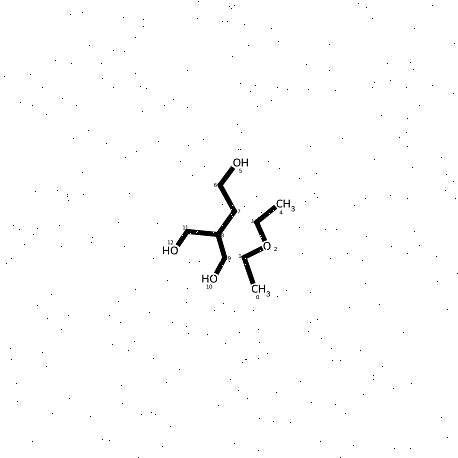 CCOCC.OCCC(CO)CO